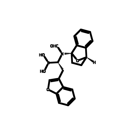 O=CN([C@H](Cc1coc2ccccc12)B(O)O)[C@@]12CC[C@@H](O1)c1ccccc12